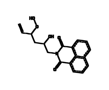 C=CC(CC(O)CN1C(=O)c2cccc3cccc(c23)C1=O)OO